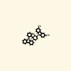 CC12C=CC=C(n3c4ccc(C#N)cc4c4cc(C#N)ccc43)C1Oc1cccc(-n3c4ccccc4c4ccccc43)c12